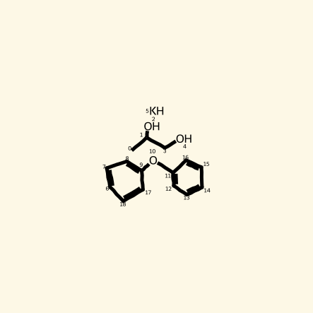 CC(O)CO.[KH].c1ccc(Oc2ccccc2)cc1